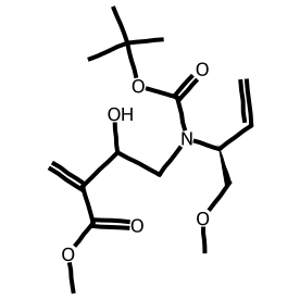 C=C[C@@H](COC)N(CC(O)C(=C)C(=O)OC)C(=O)OC(C)(C)C